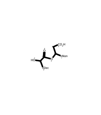 CCCCCCCCCCC(O)C(=O)OC(CCCCCCCCC)CC(=O)O